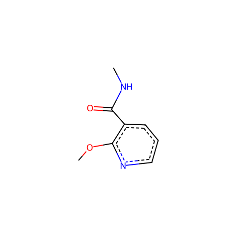 CNC(=O)c1cccnc1OC